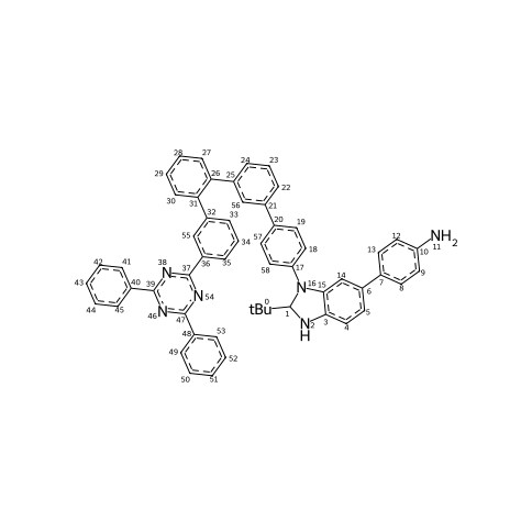 CC(C)(C)C1Nc2ccc(-c3ccc(N)cc3)cc2N1c1ccc(-c2cccc(-c3ccccc3-c3cccc(-c4nc(-c5ccccc5)nc(-c5ccccc5)n4)c3)c2)cc1